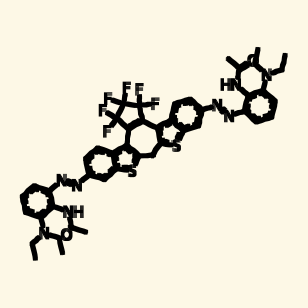 CCN(CC)c1cccc(N=Nc2ccc3c(C4=C(c5c(C)sc6cc(N=Nc7cccc(N(CC)CC)c7NC(C)=O)ccc56)C(F)(F)C(F)(F)C4(F)F)c(C)sc3c2)c1NC(C)=O